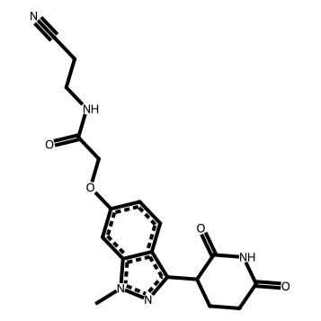 Cn1nc(C2CCC(=O)NC2=O)c2ccc(OCC(=O)NCCC#N)cc21